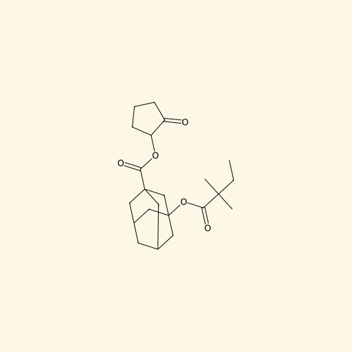 CCC(C)(C)C(=O)OC12CC3CC(C1)CC(C(=O)OC1CCCC1=O)(C3)C2